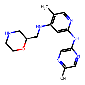 Cc1cnc(Nc2cnc(C#N)cn2)cc1NC[C@@H]1CNCCO1